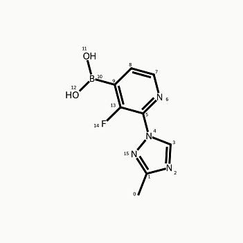 Cc1ncn(-c2nccc(B(O)O)c2F)n1